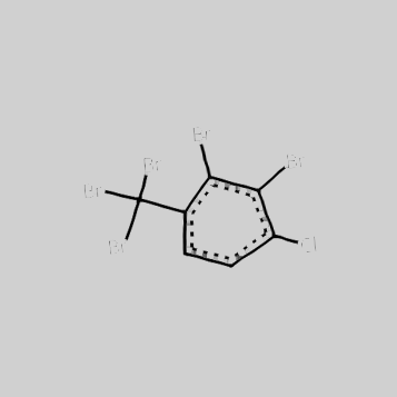 Clc1ccc(C(Br)(Br)Br)c(Br)c1Br